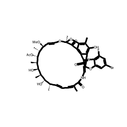 CO[C@H]1/C=C/O[C@@]2(C)Oc3c(C)c(O)c4c(=O)c(c5oc6cc(Br)cc(F)c6nc-5c4c3C2=O)NC(=O)/C(C)=C\C=C\[C@H](C)[C@H](O)[C@@H](C)[C@@H](O)[C@@H](C)[C@H](OC(C)=O)[C@@H]1C